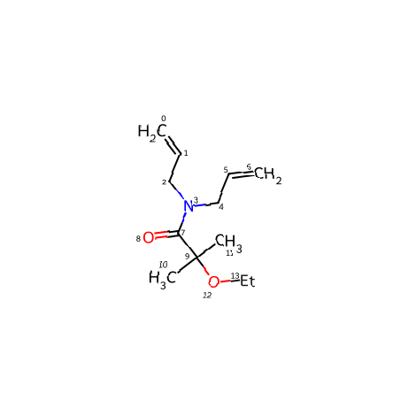 C=CCN(CC=C)C(=O)C(C)(C)OCC